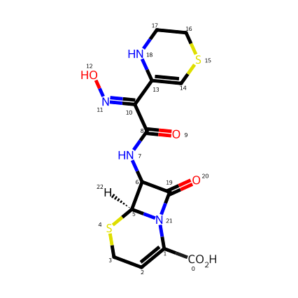 O=C(O)C1=CCS[C@H]2C(NC(=O)C(=NO)C3=CSCCN3)C(=O)N12